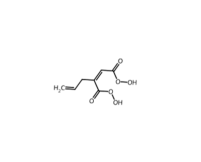 C=CC/C(=C/C(=O)OO)C(=O)OO